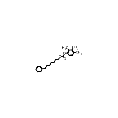 Cc1ccc(OC(=O)OCCCCCCCc2ccccc2)c(C)c1C